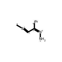 C/B=C/C(=N\N)C(C)C